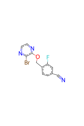 N#Cc1ccc(COc2nccnc2Br)c(F)c1